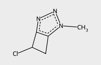 Cn1nnc2c1CC2Cl